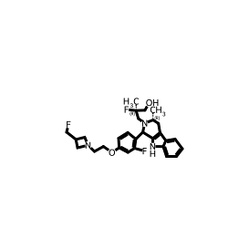 C[C@@H]1Cc2c([nH]c3ccccc23)C(c2ccc(OCCN3CC(CF)C3)cc2F)N1C[C@@](C)(F)CO